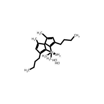 CCCCC1=[C]([Zr]([CH3])([CH3])(=[SiH2])[C]2=C(CCCC)C=C(C)C2)CC(C)=C1.Cl.Cl